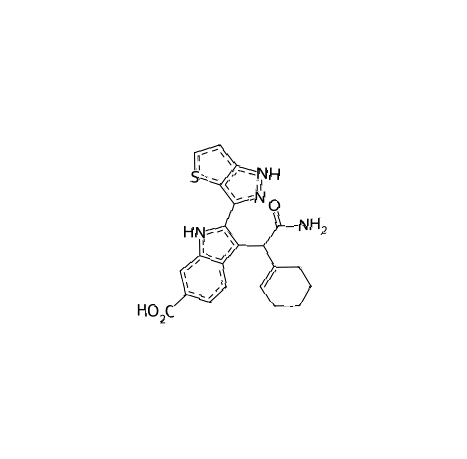 NC(=O)C(C1=CCCCC1)c1c(-c2n[nH]c3ccsc23)[nH]c2cc(C(=O)O)ccc12